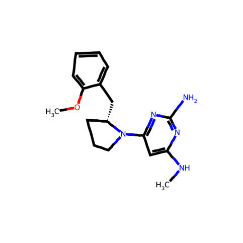 CNc1cc(N2CCC[C@@H]2Cc2ccccc2OC)nc(N)n1